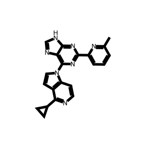 Cc1cccc(-c2nc(-n3ccc4c(C5CC5)nccc43)c3nc[nH]c3n2)n1